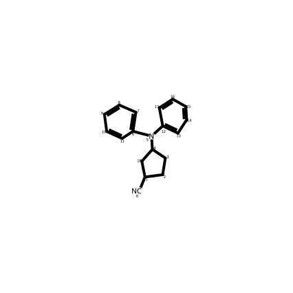 N#CC1CCC(N(c2ccccc2)c2ccccc2)C1